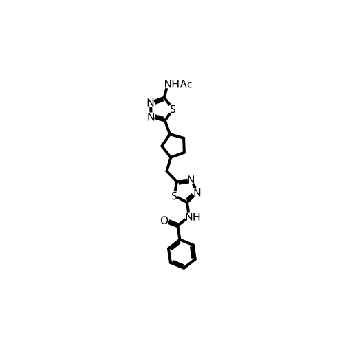 CC(=O)Nc1nnc(C2CCC(Cc3nnc(NC(=O)c4ccccc4)s3)C2)s1